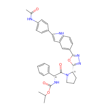 CC(=O)Nc1ccc(-c2cc3cc(-c4nnc([C@@H]5CCCN5C(=O)[C@H](NC(=O)OC(C)C)c5ccccc5)o4)ccc3[nH]2)cc1